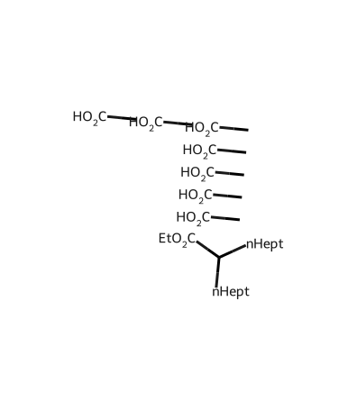 CC(=O)O.CC(=O)O.CC(=O)O.CC(=O)O.CC(=O)O.CC(=O)O.CC(=O)O.CCCCCCCC(CCCCCCC)C(=O)OCC